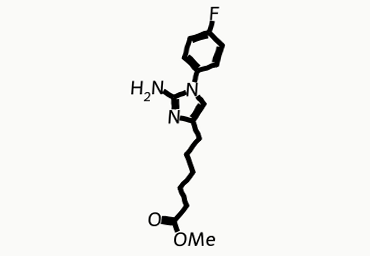 COC(=O)CCCCCc1cn(-c2ccc(F)cc2)c(N)n1